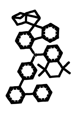 CC1(C)CCC(C)(C)c2c(N(c3ccc(-c4ccccc4-c4ccccc4)cc3)c3cccc4c3-c3ccccc3C43C4CC5CC(C4)C3C5)cccc21